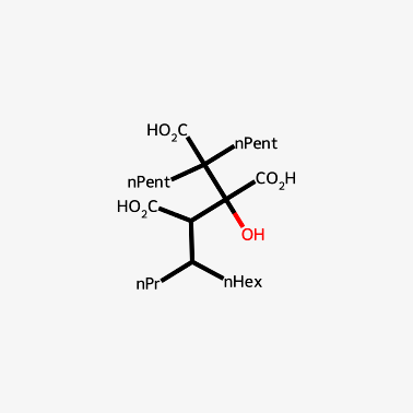 CCCCCCC(CCC)C(C(=O)O)C(O)(C(=O)O)C(CCCCC)(CCCCC)C(=O)O